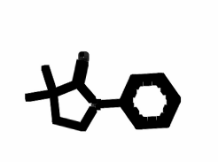 CC1(C)CCN(c2ccccc2)C1=O